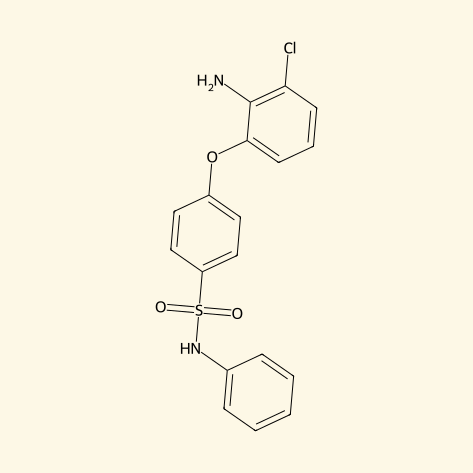 Nc1c(Cl)cccc1Oc1ccc(S(=O)(=O)Nc2ccccc2)cc1